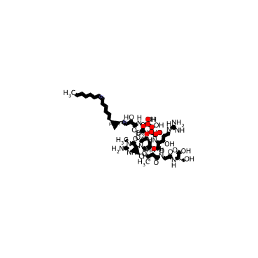 CCCCCC/C=C\CCCCC[C@@H]1C[C@H]1/C=C/C(O)C(=O)N[C@H](C(=O)N(C=O)[C@@H](CC(=O)O)C(=O)N(CO[C@@H](C)[C@H](NC(=O)C(NC(=O)[C@@H](N)CC(=O)O)C(O)C(O)CNC(=N)N)C(=O)NCC(=O)N[C@@H](CO)C(=O)O)[C@@]1(C(=O)N(C)C(=N)N)C[C@@H]1C)[C@H](O)C(=O)O